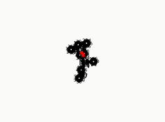 c1ccc(-c2nc(-c3ccc(-n4c5ccccc5c5ccc6c7ccccc7n(-c7ccccc7)c6c54)cc3)nc(-c3ccc4c(c3)oc3ccccc34)n2)cc1